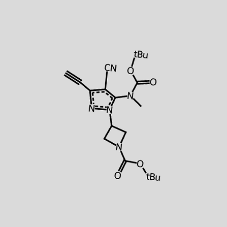 C#Cc1nn(C2CN(C(=O)OC(C)(C)C)C2)c(N(C)C(=O)OC(C)(C)C)c1C#N